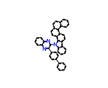 c1ccc(-c2ccc(-c3nc4ccccc4nc3-n3c4ccccc4c4ccc5c(ccc6ccc7ccccc7c65)c43)cc2)cc1